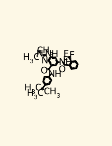 CN(C)c1nc2c(C(=O)Nc3ccc(C(C)(C)C)cc3)cc(NC(=O)c3ccccc3C(F)(F)F)cc2[nH]1